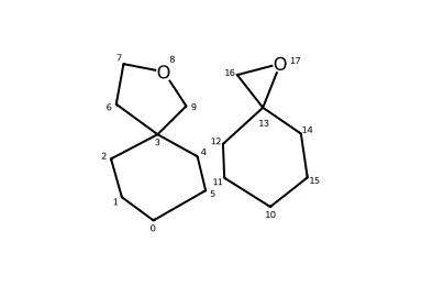 C1CCC2(CC1)CCOC2.C1CCC2(CC1)CO2